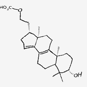 CC1(C)C2CCC3=C(CC[C@@]4(C)C3=CC[C@@H]4CCOC(=O)O)[C@@]2(C)CC[C@@H]1O